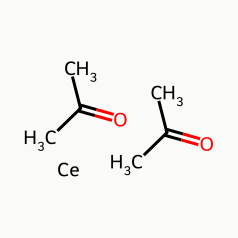 CC(C)=O.CC(C)=O.[Ce]